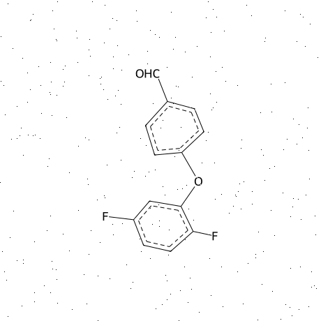 O=Cc1ccc(Oc2cc(F)ccc2F)cc1